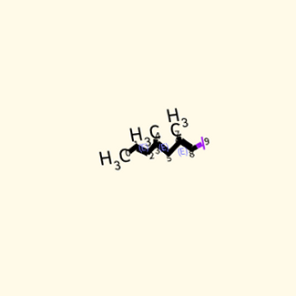 C/C=C/C(C)=C/C(C)=C/I